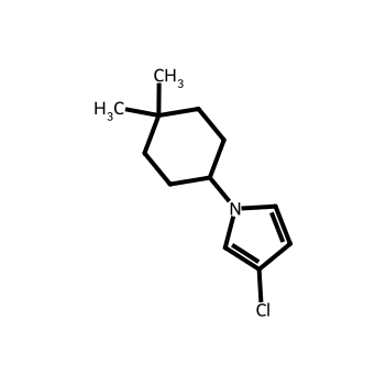 CC1(C)CCC(n2ccc(Cl)c2)CC1